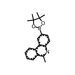 Cc1nc2ccc(B3OC(C)(C)C(C)(C)O3)cc2c2ccccc12